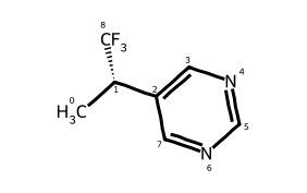 C[C@@H](c1cncnc1)C(F)(F)F